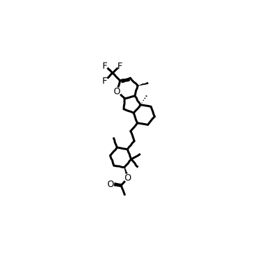 CC(=O)O[C@H]1CCC(C)C(CCC2CCC[C@@]3(C)C2CC2OC(C(F)(F)F)=C[C@@H](C)C23)C1(C)C